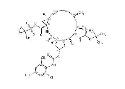 Cc1cc(C)c(NC(=O)O[C@@H]2C[C@H]3C(=O)N[C@]4(C(=O)NS(=O)(=O)C5(C)CC5)C[C@H]4/C=C\CC[C@@H](C)C[C@@H](C)[C@H](NC(=O)OC(C)(C)C)C(=O)N3C2)c(Cl)c1